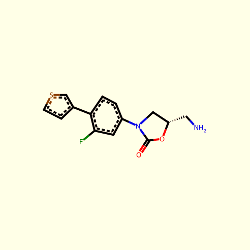 NC[C@H]1CN(c2ccc(-c3ccsc3)c(F)c2)C(=O)O1